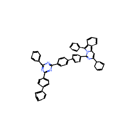 C1=CCC(c2cc3c4ccccc4c(-c4ccccc4)n3c(-c3ccc(-c4ccc(-c5nc(-c6ccccc6)nc(-c6ccc(-c7ccccc7)cc6)n5)cc4)cc3)n2)C=C1